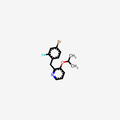 CC(C)Oc1cccnc1Cc1ccc(Br)cc1F